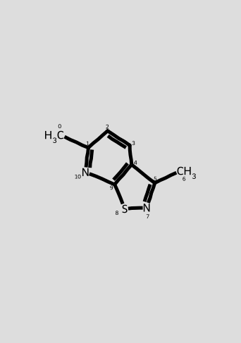 Cc1ccc2c(C)nsc2n1